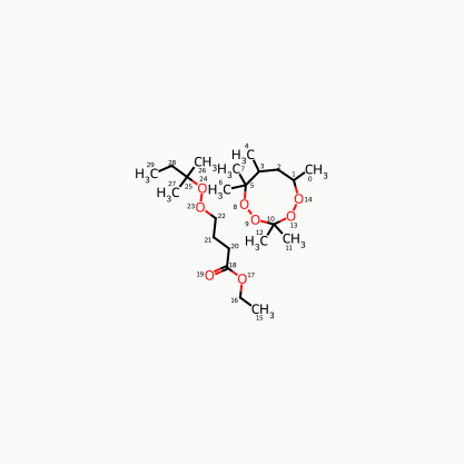 CC1CC(C)C(C)(C)OOC(C)(C)OO1.CCOC(=O)CCCOOC(C)(C)CC